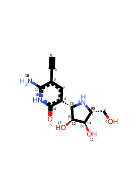 C#Cc1cc([C@@H]2N[C@H](CO)[C@@H](O)[C@H]2O)c(=O)[nH]c1N